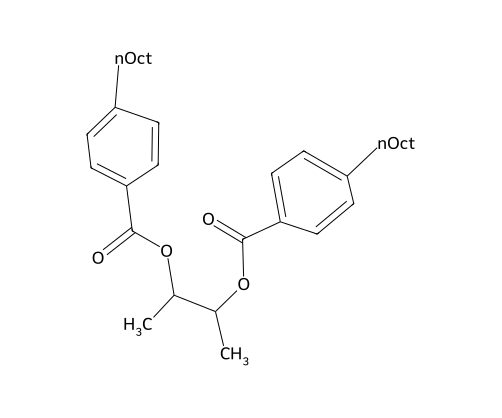 CCCCCCCCc1ccc(C(=O)OC(C)C(C)OC(=O)c2ccc(CCCCCCCC)cc2)cc1